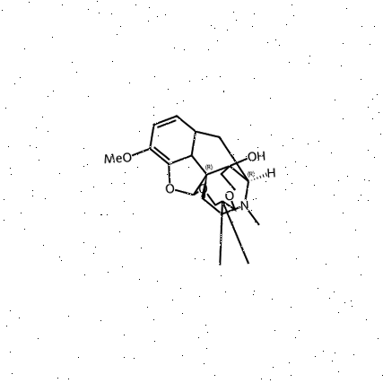 COC1=C2OC3OCC(C)(C)COCCC4(O)[C@H]5CC(C=C1)C2[C@@]34CCN5C